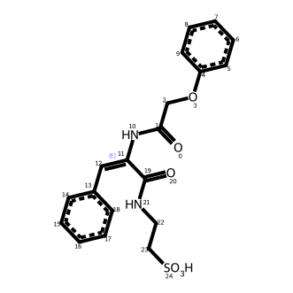 O=C(COc1ccccc1)N/C(=C/c1ccccc1)C(=O)NCCS(=O)(=O)O